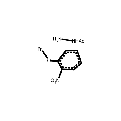 CC(=O)NN.CC(C)Oc1ccccc1[N+](=O)[O-]